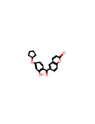 O=C(c1ccc2oc(=O)ccc2c1)c1ccc(OC2CCCC2)cc1O